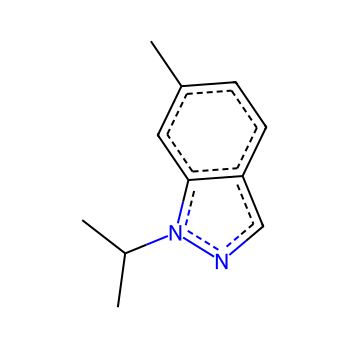 Cc1ccc2cnn(C(C)C)c2c1